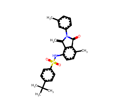 C=C1c2c(NS(=O)(=O)c3ccc(C(C)(C)C)cc3)ccc(C)c2C(=O)N1c1cccc(C)c1